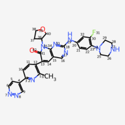 Cc1nc(-c2ccnnc2)ccc1-c1cc2cnc(Nc3ccc(N4CCNCC4)c(F)c3)nc2n(C2CCOC2)c1=O